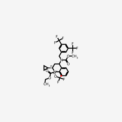 CCOC(=O)[N@+]1(OC(F)(F)F)c2ccccc2C(N(Cc2cc(C(F)(F)F)cc(C(F)(F)F)c2)C(=O)OC)C[C@@H]1C1CC1